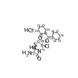 Cl.NC1C(=O)N2CC(Cl)(C(=O)OC(c3ccccc3)c3ccccc3)CS[C@H]12